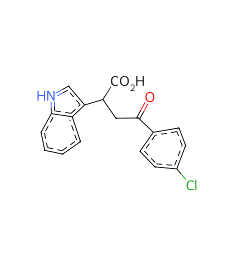 O=C(CC(C(=O)O)c1c[nH]c2ccccc12)c1ccc(Cl)cc1